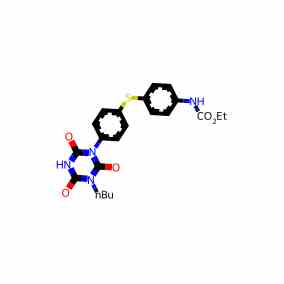 CCCCn1c(=O)[nH]c(=O)n(-c2ccc(Sc3ccc(NC(=O)OCC)cc3)cc2)c1=O